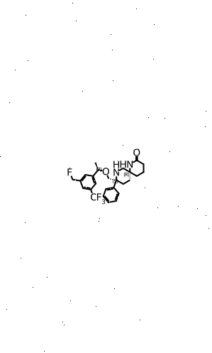 C[C@@H](OC[C@@]1(c2ccccc2)CC[C@]2(CCCC(=O)N2)CN1)c1cc(CF)cc(C(F)(F)F)c1